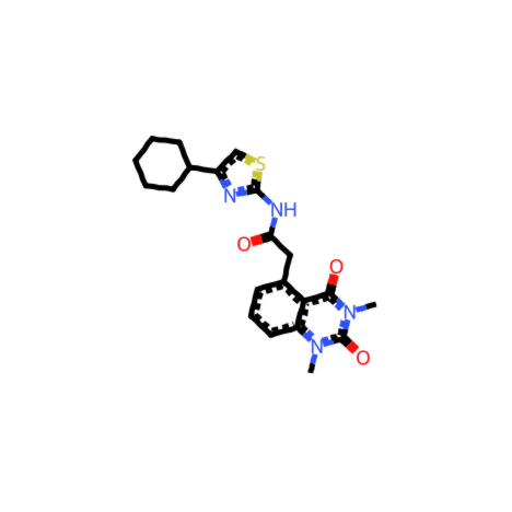 Cn1c(=O)c2c(CC(=O)Nc3nc(C4CCCCC4)cs3)cccc2n(C)c1=O